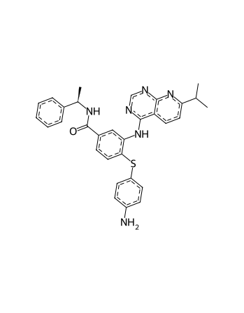 CC(C)c1ccc2c(Nc3cc(C(=O)N[C@H](C)c4ccccc4)ccc3Sc3ccc(N)cc3)ncnc2n1